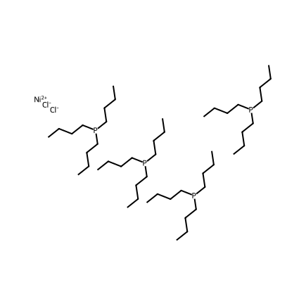 CCCCP(CCCC)CCCC.CCCCP(CCCC)CCCC.CCCCP(CCCC)CCCC.CCCCP(CCCC)CCCC.[Cl-].[Cl-].[Ni+2]